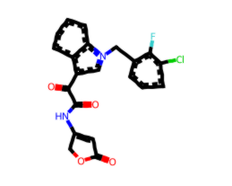 O=C1C=C(NC(=O)C(=O)c2cn(Cc3cccc(Cl)c3F)c3ccccc23)CO1